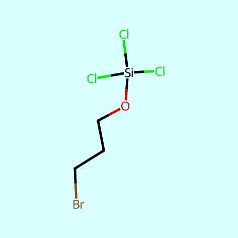 Cl[Si](Cl)(Cl)OCCCBr